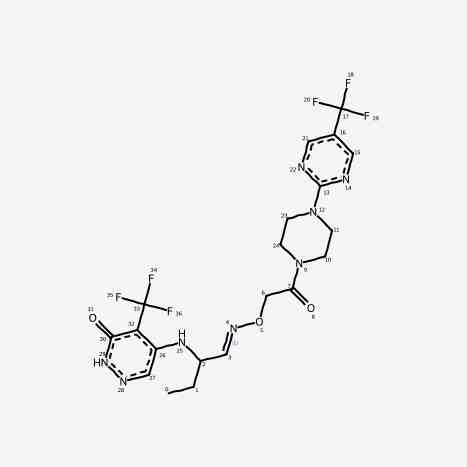 CCC(/C=N/OCC(=O)N1CCN(c2ncc(C(F)(F)F)cn2)CC1)Nc1cn[nH]c(=O)c1C(F)(F)F